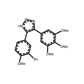 COc1ccc(-c2[nH]nnc2-c2cc(OC)c(OC)c(OC)c2)cc1S